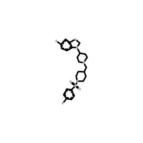 O=S(=O)(c1ccc(F)cc1)N1CCC(CN2CCC(N3CSc4cc(F)ccc43)CC2)CC1